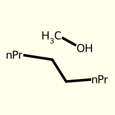 CCCCCCCC.CO